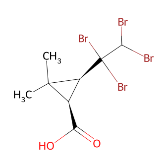 CC1(C)[C@H](C(=O)O)[C@@H]1C(Br)(Br)C(Br)Br